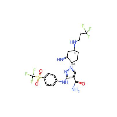 N=C1C[C@@H](NCCC(F)(F)F)CC[C@@H]1n1cc(C(N)=O)c(Nc2ccc(S(=O)(=O)C(F)(F)F)cc2)n1